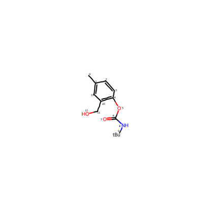 Cc1ccc(OC(=O)NC(C)(C)C)c(CO)c1